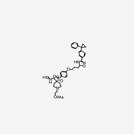 COCCN1CCC(C(=O)NO)(S(=O)(=O)c2ccc(OCCCC3NC(c4ccc(C5(c6ccccc6)CC5)cc4)=NO3)cc2)CC1